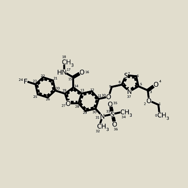 CCOC(=O)c1csc(COc2cc3c(C(=O)NC)c(-c4ccc(F)cc4)oc3cc2N(C)S(C)(=O)=O)n1